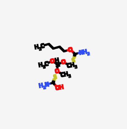 CCCCCOC(N)=S.CO[SiH](OC)OC.NC(O)=S